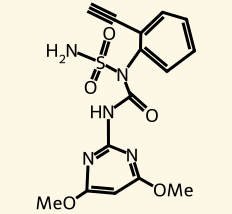 C#Cc1ccccc1N(C(=O)Nc1nc(OC)cc(OC)n1)S(N)(=O)=O